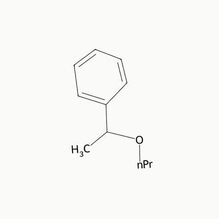 CCCOC(C)c1ccccc1